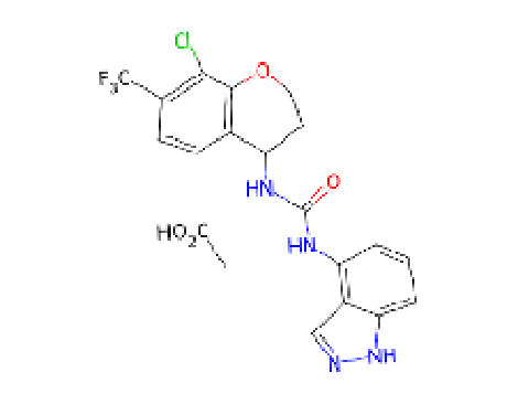 CC(=O)O.O=C(Nc1cccc2[nH]ncc12)NC1CCOc2c1ccc(C(F)(F)F)c2Cl